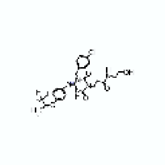 C[C@@H](Oc1ccc(/N=c2\[nH]c(=O)n(CCC(=O)NCCO)c(=O)n2Cc2ccc(Cl)cc2)cc1)C(F)(F)F